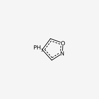 P.c1cnoc1